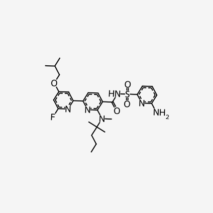 CCCC(C)(C)N(C)c1nc(-c2cc(OCC(C)C)cc(F)n2)ccc1C(=O)NS(=O)(=O)c1cccc(N)n1